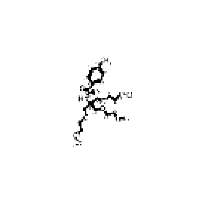 CCOCCOCC(COCCC=O)(COCCOCC)NS(=O)(=O)c1ccc(C)cc1